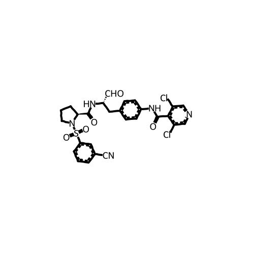 N#Cc1cccc(S(=O)(=O)N2CCC[C@H]2C(=O)N[C@H](C=O)Cc2ccc(NC(=O)c3c(Cl)cncc3Cl)cc2)c1